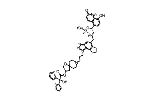 CC(C)(C)[Si](C)(C)O[C@@H](CNCc1cc2nnn(CCCN3CCC4(CC3)C[C@@H](OC(=O)C(O)(c3cccs3)c3cccs3)CO4)c2c2c1CCC2)c1ccc(O)c2[nH]c(=O)ccc12